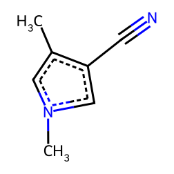 Cc1cn(C)cc1C#N